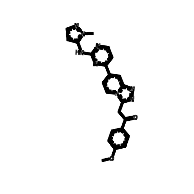 COc1ccc(C(=O)Cc2nnc3cc(-c4ccnc(Nc5ccnn5C)n4)ccn23)cc1